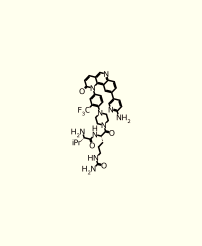 CC(C)[C@H](N)C(=O)N[C@@H](CCCNC(N)=O)C(=O)N1CCN(c2ccc(-n3c(=O)ccc4cnc5ccc(-c6ccc(N)nc6)cc5c43)cc2C(F)(F)F)CC1